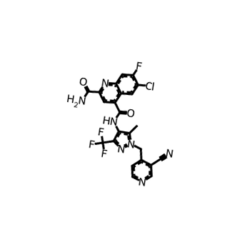 Cc1c(NC(=O)c2cc(C(N)=O)nc3cc(F)c(Cl)cc23)c(C(F)(F)F)nn1Cc1ccncc1C#N